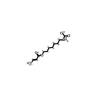 CC=CC(=O)OCCCCCCC[SiH2]C(Cl)Cl